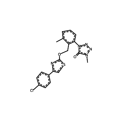 Cc1cccc(-n2nnn(C)c2=O)c1COc1nc(-c2ccc(Cl)cc2)cs1